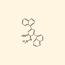 N=C1C=C(c2cccc3ccccc23)C=C(c2cccc3ccccc23)/C1=N/N